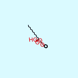 CCCCCCCCCCCC(OCCOc1ccccc1)C(=O)O